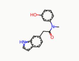 CN(C(=O)Cc1ccc2cc[nH]c2c1)c1cccc(O)c1